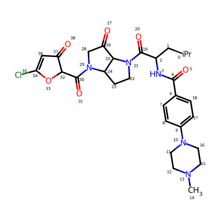 CC(C)CC(NC(=O)c1ccc(N2CCN(C)CC2)cc1)C(=O)N1CCC2C1C(=O)CN2C(=O)C1OC(Cl)=CC1=O